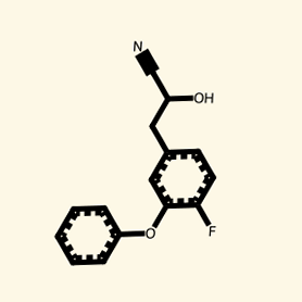 N#CC(O)Cc1ccc(F)c(Oc2ccccc2)c1